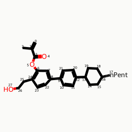 C=C(C)C(=O)Oc1cc(-c2ccc(C3CCC(CCCCC)CC3)cc2)ccc1CCO